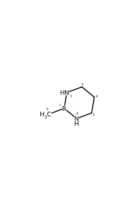 CB1NCCCN1